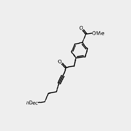 CCCCCCCCCCCCCC#CC(=O)Cc1ccc(C(=O)OC)cc1